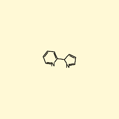 C1=CC(c2ccccn2)N=C1